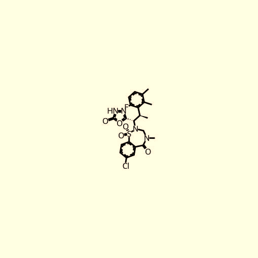 Cc1ccc(F)c([C@@H](C)[C@@H](c2n[nH]c(=O)o2)N2CN(C)C(=O)c3cc(Cl)ccc3S2(=O)=O)c1C